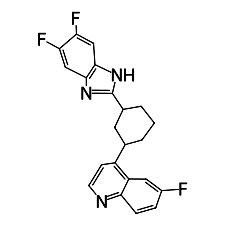 Fc1ccc2nccc(C3CCCC(c4nc5cc(F)c(F)cc5[nH]4)C3)c2c1